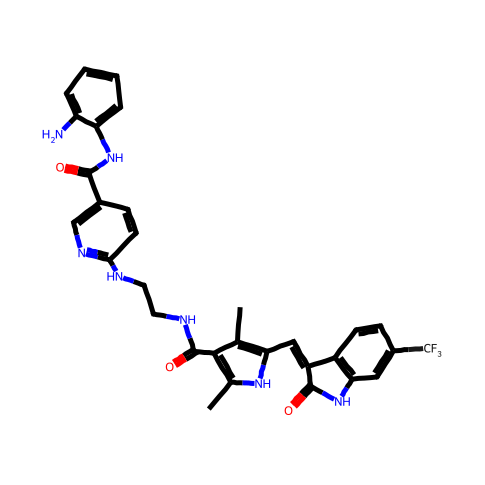 Cc1[nH]c(C=C2C(=O)Nc3cc(C(F)(F)F)ccc32)c(C)c1C(=O)NCCNc1ccc(C(=O)Nc2ccccc2N)cn1